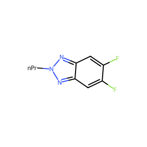 CCCn1nc2cc(F)c(F)cc2n1